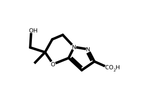 CC1(CO)CCn2nc(C(=O)O)cc2O1